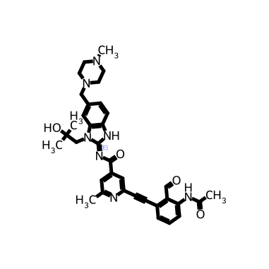 CC(=O)Nc1cccc(C#Cc2cc(C(=O)/N=c3\[nH]c4ccc(CN5CCN(C)CC5)cc4n3CC(C)(C)O)cc(C)n2)c1C=O